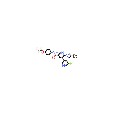 CCC1CN(c2ncc(C(=O)Nc3ccc(OC(F)(F)F)cc3)cc2-c2cncc(F)c2)C1